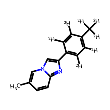 [2H]c1c([2H])c(C([2H])([2H])[2H])c([2H])c([2H])c1-c1cn2cc(C)ccc2n1